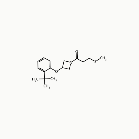 CSCCC(=O)N1CC(Oc2ccccc2C(C)(C)C)C1